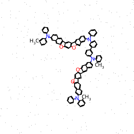 Cc1cccc(N(c2ccccc2)c2ccc3cc4c(cc3c2)oc2cc3oc5cc6cc(N(c7ccccc7)c7cccc(-c8cccc(N(c9ccc%10cc%11c(cc%10c9)oc9cc%10oc%12cc%13cc(N(c%14ccccc%14)c%14ccccc%14C)ccc%13cc%12c%10cc9%11)c9ccccc9C)c8)c7)ccc6cc5c3cc24)c1